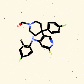 Cc1cc(F)ccc1Nc1cc(S)ncc1C1(c2ccc(F)cc2)CCN(C=O)CC1